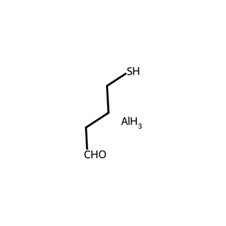 O=CCCCS.[AlH3]